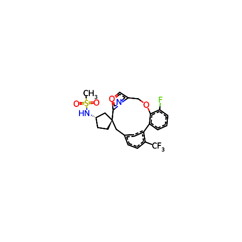 CS(=O)(=O)N[C@H]1CC[C@@]2(Cc3ccc(C(F)(F)F)c(c3)-c3cccc(F)c3OCc3coc2n3)C1